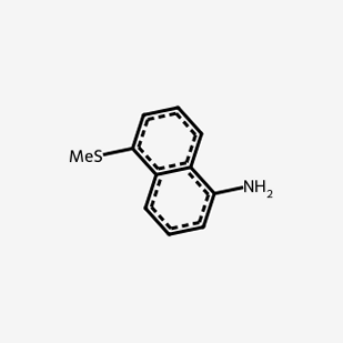 CSc1cccc2c(N)cccc12